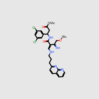 COC(=O)CC(NC(=O)/C(=C/NCCCc1ccc2cccnc2n1)C(=N)COC(C)(C)C)c1cc(Cl)cc(Cl)c1